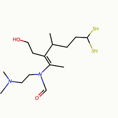 CC(=C(CCO)C(C)CCC(S)S)N(C=O)CCN(C)C